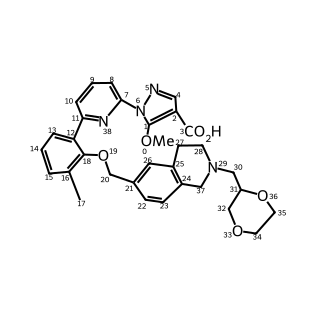 COc1c(C(=O)O)cnn1-c1cccc(-c2cccc(C)c2OCc2ccc3c(c2)CCN(CC2COCCO2)C3)n1